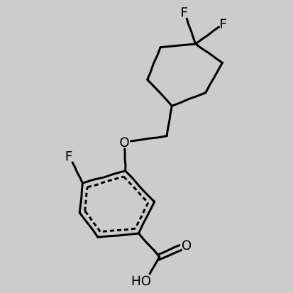 O=C(O)c1ccc(F)c(OCC2CCC(F)(F)CC2)c1